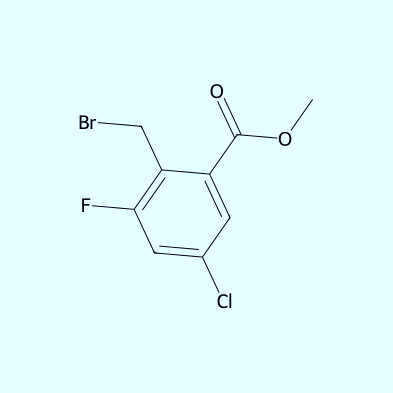 COC(=O)c1cc(Cl)cc(F)c1CBr